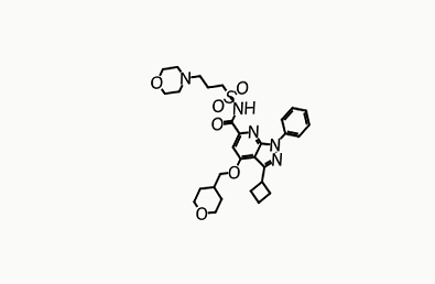 O=C(NS(=O)(=O)CCCN1CCOCC1)c1cc(OCC2CCOCC2)c2c(C3CCC3)nn(-c3ccccc3)c2n1